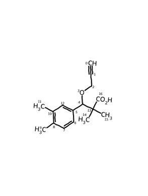 C#CCOC(c1ccc(C)c(C)c1)C(C)(C)C(=O)O